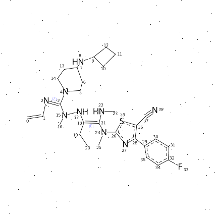 C=C/N=C(/N1CCC(NC2CCC2)CC1)N(C)N/C(CC)=C(\NC)N(C)c1nc(-c2ccc(F)cc2)c(C#N)s1